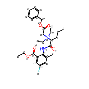 CCCC(C(=O)Nc1c(C)cc(F)cc1C(=O)OCC)[N+](CC)(CC)CC(=O)OCc1ccccc1